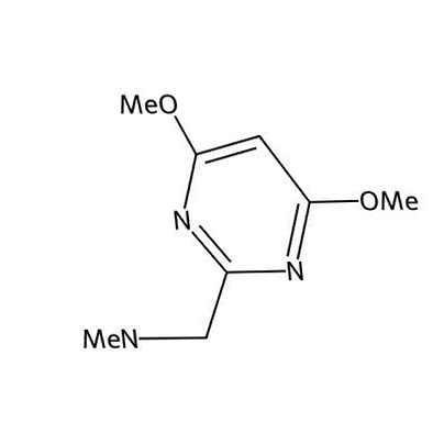 CNCc1nc(OC)cc(OC)n1